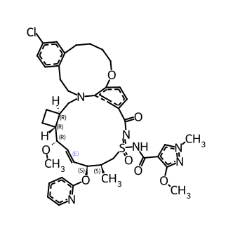 COc1nn(C)cc1C(=O)NS1(=O)=NC(=O)c2ccc3c(c2)N(CCc2ccc(Cl)cc2CCCCO3)C[C@@H]2CC[C@H]2[C@@H](OC)/C=C/[C@H](Oc2ccccn2)[C@H](C)C1